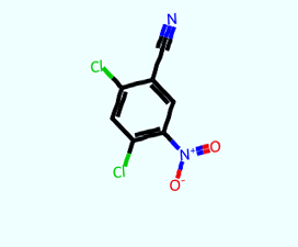 N#Cc1cc([N+](=O)[O-])c(Cl)cc1Cl